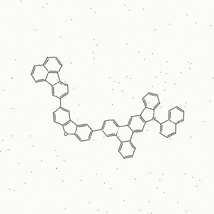 c1ccc2c(-n3c4ccccc4c4cc5c6ccc(-c7ccc8oc9ccc(-c%10ccc%11c(c%10)-c%10cccc%12cccc-%11c%10%12)cc9c8c7)cc6c6ccccc6c5cc43)cccc2c1